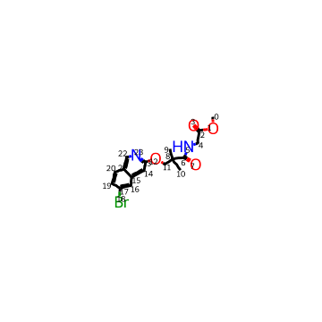 COC(=O)CNC(=O)C(C)(C)COc1cc2cc(Br)ccc2cn1